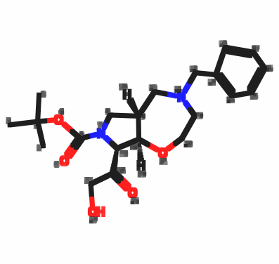 CC(C)(C)OC(=O)N1C[C@@H]2CN(Cc3ccccc3)CCO[C@H]2[C@H]1C(=O)CO